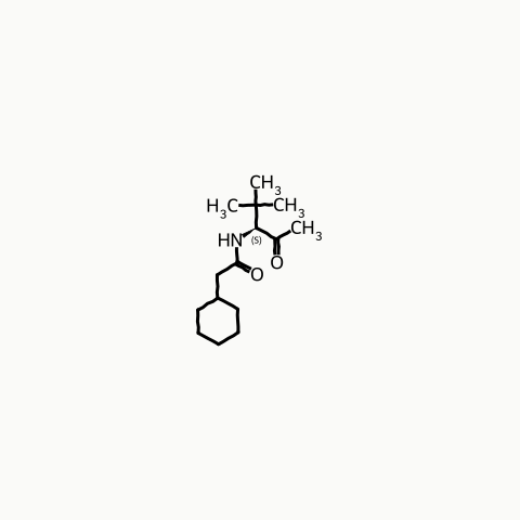 CC(=O)[C@@H](NC(=O)CC1CCCCC1)C(C)(C)C